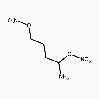 NC([CH]CCO[N+](=O)[O-])O[N+](=O)[O-]